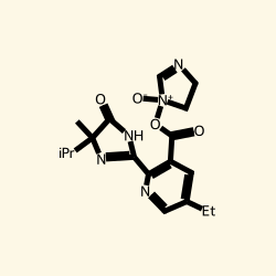 CCc1cnc(C2=NC(C)(C(C)C)C(=O)N2)c(C(=O)O[N+]2([O-])C=NCC2)c1